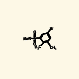 CNS(=O)(=O)c1cc(Br)cc(C)c1C